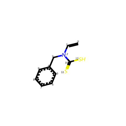 C=CN(Cc1ccccc1)C(=S)S